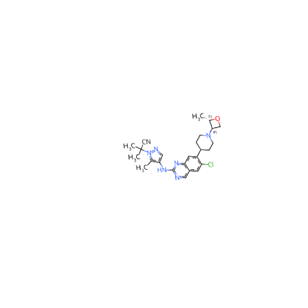 Cc1c(Nc2ncc3cc(Cl)c(C4CCN([C@@H]5CO[C@H]5C)CC4)cc3n2)cnn1C(C)(C)C#N